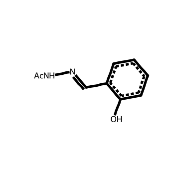 CC(=O)N/N=C/c1ccccc1O